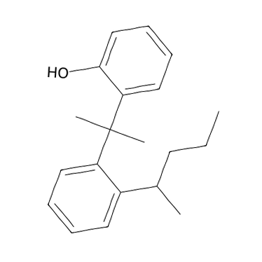 CCCC(C)c1ccccc1C(C)(C)c1ccccc1O